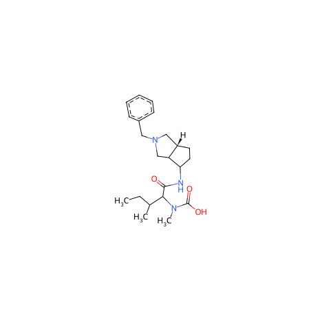 CCC(C)C(C(=O)NC1CC[C@H]2CN(Cc3ccccc3)CC12)N(C)C(=O)O